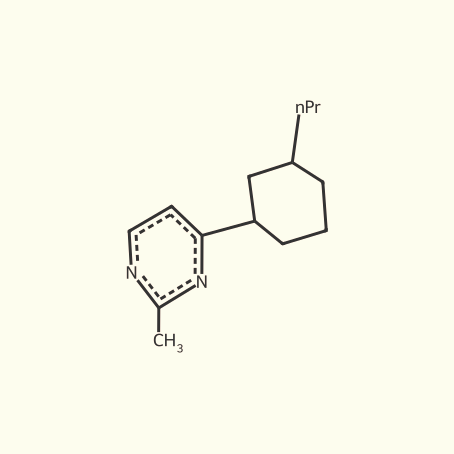 CCCC1CCCC(c2ccnc(C)n2)C1